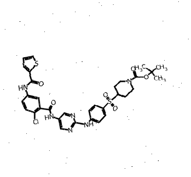 CC(C)(C)OC(=O)N1CCC(S(=O)(=O)c2ccc(Nc3ncc(NC(=O)c4cc(NC(=O)c5cccs5)ccc4Cl)cn3)cc2)CC1